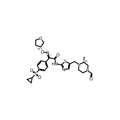 C[C@H]1CN(C=O)CCN1Cc1cnc(NC(=O)/C(=N/O[C@@H]2CCOC2)c2ccc(S(=O)(=O)C3CC3)cc2)s1